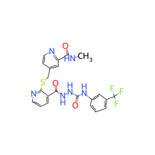 CNC(=O)c1cc(CSc2ncccc2C(=O)NNC(=O)Nc2cccc(C(F)(F)F)c2)ccn1